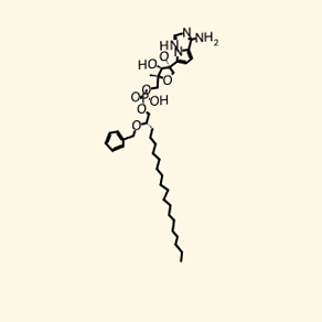 CCCCCCCCCCCCCCCCCC[C@@H](COP(=O)(O)OC[C@@]1(C)OC[C@](O)(c2ccc3c(N)ncnn23)[C@@H]1O)OCc1ccccc1